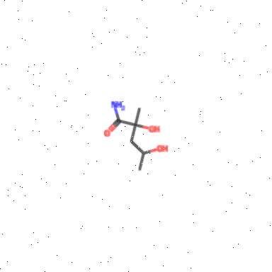 CC(O)CC(C)(O)C(N)=O